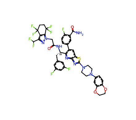 NC(=O)c1cc(-c2cc3sc(N4CCN(c5ccc6c(c5)OCCO6)CC4)nc3nc2[C@H](Cc2cc(F)cc(F)c2)NC(=O)Cn2nc(C(F)F)c3c2C(F)(F)CCC3(F)F)ccc1F